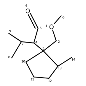 COCC1(C(C=O)C(C)C)CCCC1C